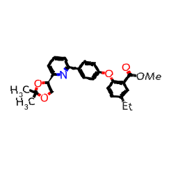 CCc1ccc(Oc2ccc(-c3cccc([C@H]4COC(C)(C)O4)n3)cc2)c(C(=O)OC)c1